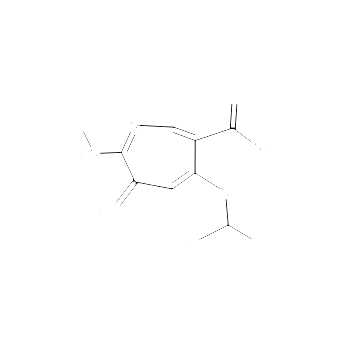 C=C1C=C(NC(C)C)C(C(N)=O)=CN=C1NC